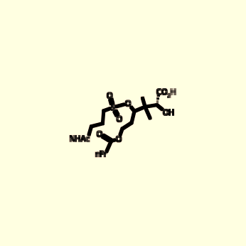 CCCC(=O)OCCC(OS(=O)(=O)CCCNC(C)=O)C(C)(C)[C@@H](O)C(=O)O